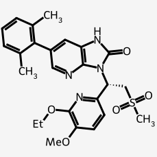 CCOc1nc([C@@H](CS(C)(=O)=O)n2c(=O)[nH]c3cc(-c4c(C)cccc4C)cnc32)ccc1OC